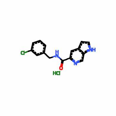 Cl.O=C(NCc1cccc(Cl)c1)c1cc2cc[nH]c2cn1